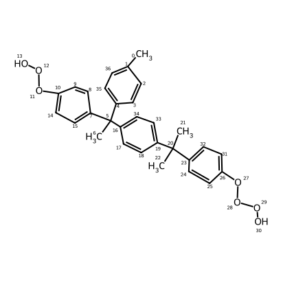 Cc1ccc(C(C)(c2ccc(OOO)cc2)c2ccc(C(C)(C)c3ccc(OOOO)cc3)cc2)cc1